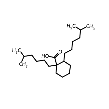 CC(C)CCCCC1CCCCC1(CCCCC(C)C)C(=O)O